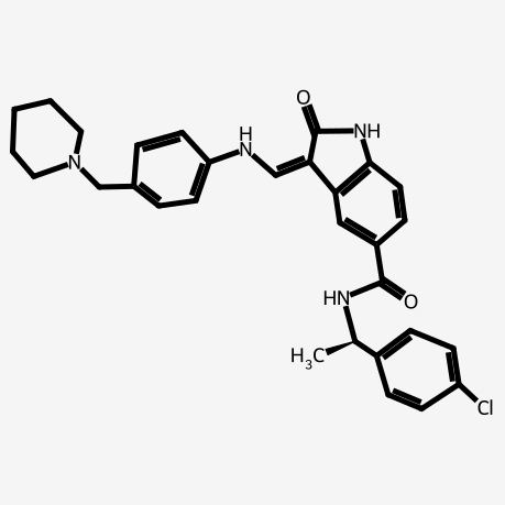 C[C@@H](NC(=O)c1ccc2c(c1)C(=CNc1ccc(CN3CCCCC3)cc1)C(=O)N2)c1ccc(Cl)cc1